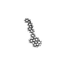 CC1(C)c2ccccc2-c2c(-c3c4ccccc4c(-c4ccc(-c5ccc6c(ccc7c8cc9c(cc8sc67)sc6ccccc69)c5)cc4)c4ccccc34)cccc21